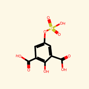 O=C(O)c1cc(OS(=O)(=O)O)cc(C(=O)O)c1O